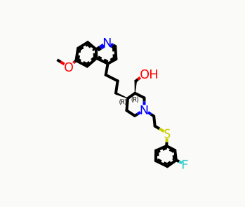 COc1ccc2nccc(CCC[C@@H]3CCN(CCSc4cccc(F)c4)C[C@@H]3CO)c2c1